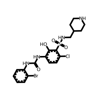 O=C(Nc1ccccc1Br)Nc1ccc(Cl)c(S(=O)(=O)NCC2CCNCC2)c1O